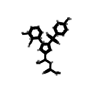 CNC(=O)OC(c1cc(S(=O)(=O)c2ccc(Cl)nc2)n(-c2cccc(C)c2F)n1)C(C)(C)C